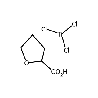 O=C(O)C1CCCO1.[Cl][Ti]([Cl])[Cl]